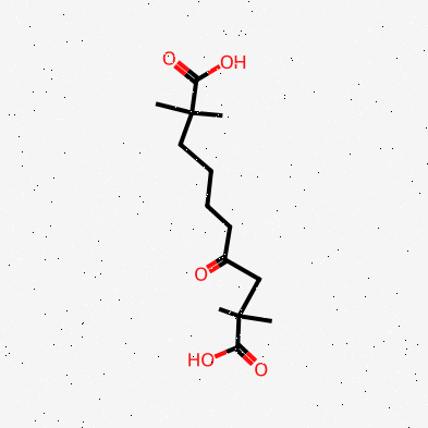 CC(C)(CCCCC(=O)CC(C)(C)C(=O)O)C(=O)O